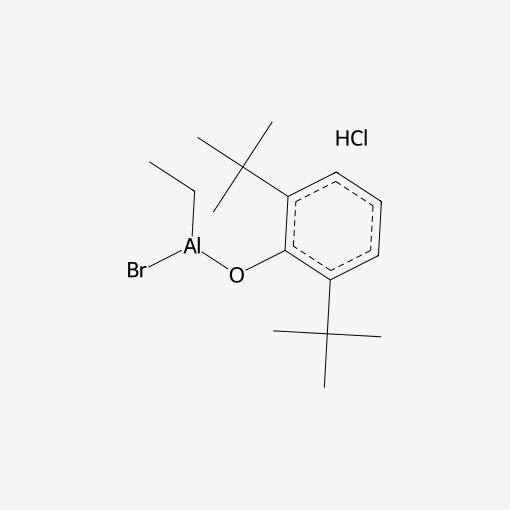 C[CH2][Al]([Br])[O]c1c(C(C)(C)C)cccc1C(C)(C)C.Cl